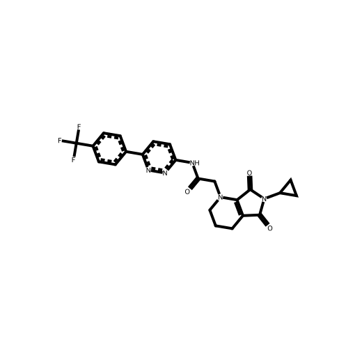 O=C(CN1CCCC2=C1C(=O)N(C1CC1)C2=O)Nc1ccc(-c2ccc(C(F)(F)F)cc2)nn1